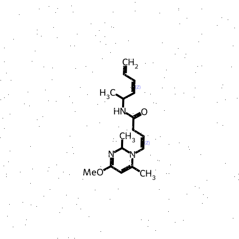 C=C/C=C\C(C)NC(=O)C/C=C\N1C(C)=CC(OC)=NC1C